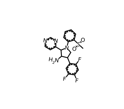 CS(=O)(=O)c1ccccc1N1CC(c2cc(F)c(F)cc2F)C(N)C1c1ccncn1